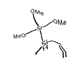 C=C[SiH](C)[Si](OC)(OC)OC